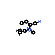 C=C1C[C@@H]2C[C@H](C)CC(c3ccc(-c4nc(-c5ccccc5)nc(-c5cc(-c6ccc(C#N)cc6)cc(-c6cccc(-c7ccccc7)c6)c5)n4)cc3)(C1)C2